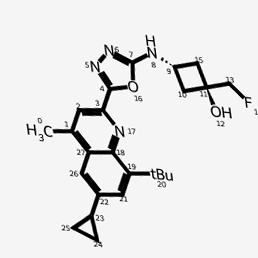 Cc1cc(-c2nnc(N[C@H]3C[C@@](O)(CF)C3)o2)nc2c(C(C)(C)C)cc(C3CC3)cc12